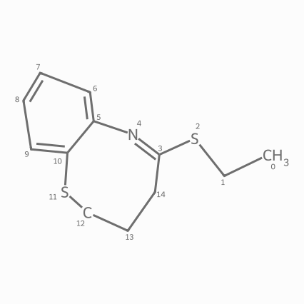 CCSC1=Nc2ccccc2SCCC1